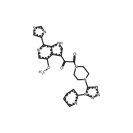 COc1cnc(-c2cscn2)c2[nH]cc(C(=O)C(=O)N3CCN(c4nnnn4-c4ccccn4)CC3)c12